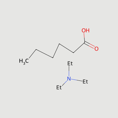 CCCCCC(=O)O.CCN(CC)CC